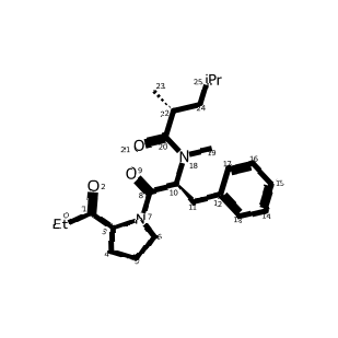 CCC(=O)C1CCCN1C(=O)[C@H](Cc1ccccc1)N(C)C(=O)[C@H](C)CC(C)C